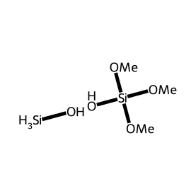 CO[Si](O)(OC)OC.O[SiH3]